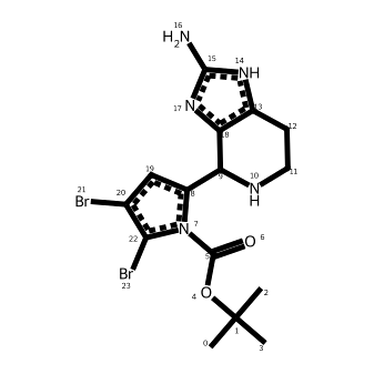 CC(C)(C)OC(=O)n1c(C2NCCc3[nH]c(N)nc32)cc(Br)c1Br